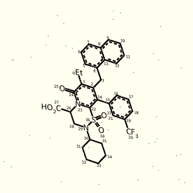 CCc1c(Cc2cccc3ccccc23)c(-c2cccc(C(F)(F)F)c2)c2n(c1=O)C(C(=O)O)CN(C1CCCCC1)S2(=O)=O